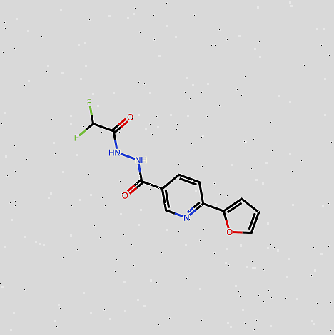 O=C(NNC(=O)C(F)F)c1ccc(-c2ccco2)nc1